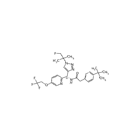 CC(C)(C)c1ccc(CC(=O)N[C@H](c2ccc(OCC(F)(F)F)cn2)c2cn(C(C)(C)CF)nn2)cc1